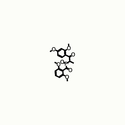 COc1ccc(C(=O)C(C)[P](=O)C(=O)c2c(OC)cccc2OC)c(OC)c1